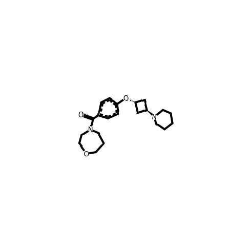 O=C(c1ccc(O[C@H]2C[C@H](N3CCCCC3)C2)cc1)N1CCCOCC1